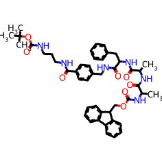 CC(NC(=O)OCC1c2ccccc2-c2ccccc21)C(=O)NC(C)C(=O)NC(Cc1ccccc1)C(=O)NCc1ccc(C(=O)NCCCNC(=O)OC(C)(C)C)cc1